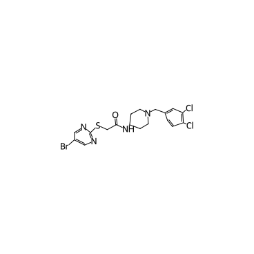 O=C(CSc1ncc(Br)cn1)NC1CCN(Cc2ccc(Cl)c(Cl)c2)CC1